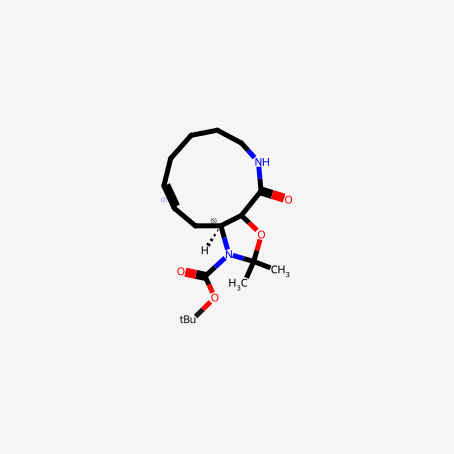 CC(C)(C)OC(=O)N1[C@H]2C/C=C\CCCCNC(=O)C2OC1(C)C